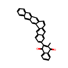 CC1=C(c2ccc3cc4c(ccc5cc6cc7ccccc7cc6cc54)cc3c2)C(=O)c2ccccc2C1=O